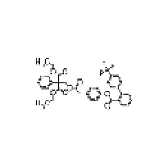 CCOC(=O)C(COC(=O)Cc1ccc(OC(=O)c2ccccc2-c2ccc(C(F)(F)F)cc2)cc1)(C(=O)OCC)c1ccccc1